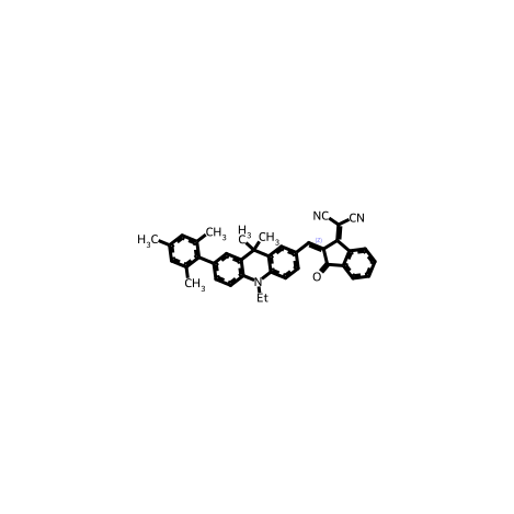 CCN1c2ccc(/C=C3\C(=O)c4ccccc4C3=C(C#N)C#N)cc2C(C)(C)c2cc(-c3c(C)cc(C)cc3C)ccc21